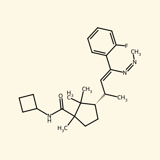 C/N=N\C(=C/C(C)[C@@H]1CCC(C)(C(=O)NC2CCC2)C1(C)C)c1ccccc1F